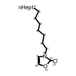 CCCCCCCCCCCCCCN1C=COC1Cl